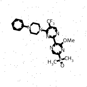 COc1nc(P(C)(C)=O)cnc1-c1ncc(C(F)(F)F)c(N2CCN(c3ccccc3)CC2)n1